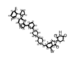 O=C1CCC(N2Cc3cc(CN4CCC(N5CCN(c6cccc(-c7cnn8ccc(N9CCC[C@@H]9c9cc(F)ccc9F)nc78)n6)CC5)CC4)cc(Br)c3C2=O)C(=O)N1